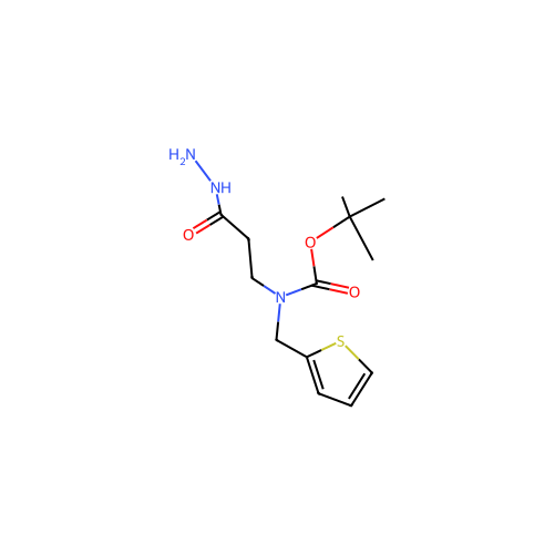 CC(C)(C)OC(=O)N(CCC(=O)NN)Cc1cccs1